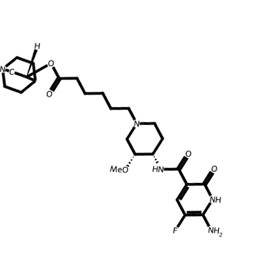 CO[C@@H]1CN(CCCCCC(=O)O[C@H]2CN3CCC2CC3)CC[C@@H]1NC(=O)c1cc(F)c(N)[nH]c1=O